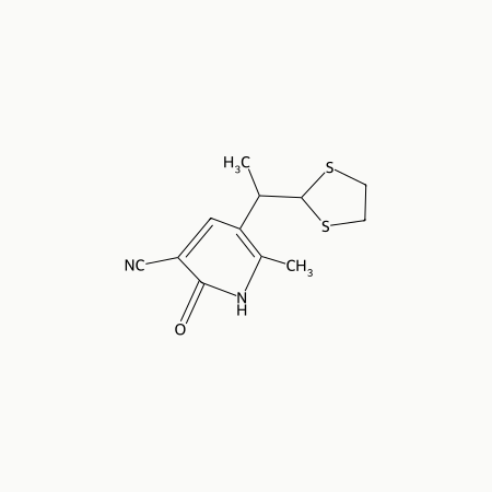 Cc1[nH]c(=O)c(C#N)cc1C(C)C1SCCS1